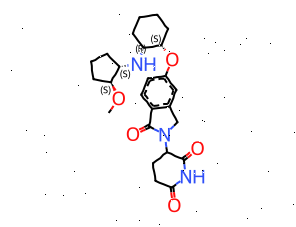 CO[C@H]1CCC[C@@H]1N[C@@H]1CCCC[C@@H]1Oc1ccc2c(c1)CN(C1CCC(=O)NC1=O)C2=O